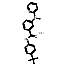 CN(c1cccc(C(=O)Nc2ccc(C(C)(C)C)cc2)c1)c1ccccn1.Cl